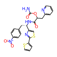 NC(=O)OC(Cc1ccccn1)C(=O)N[C@@H](Cc1ccc([N+](=O)[O-])cc1)c1csc(-c2cccs2)n1